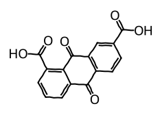 O=C(O)c1ccc2c(c1)C(=O)c1c(C(=O)O)cccc1C2=O